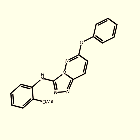 COc1ccccc1Nc1nnc2ccc(Oc3ccccc3)nn12